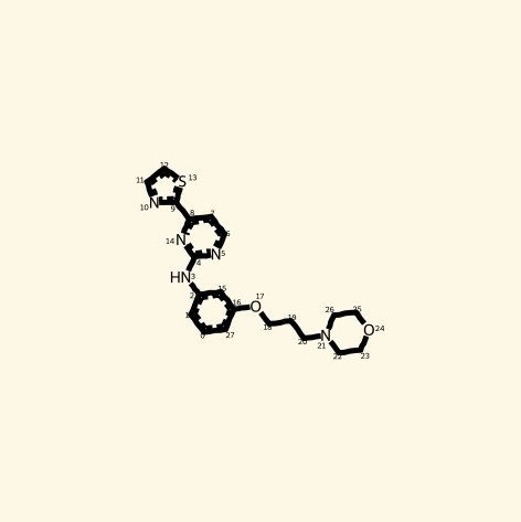 c1cc(Nc2nccc(-c3nccs3)n2)cc(OCCCN2CCOCC2)c1